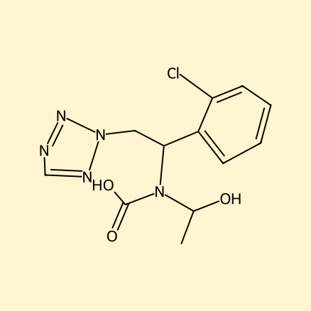 CC(O)N(C(=O)O)C(Cn1ncnn1)c1ccccc1Cl